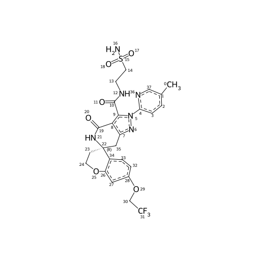 Cc1ccc(-n2nc3c(c2C(=O)NCCS(N)(=O)=O)C(=O)N[C@@]2(CCOc4cc(OCC(F)(F)F)ccc42)C3)nc1